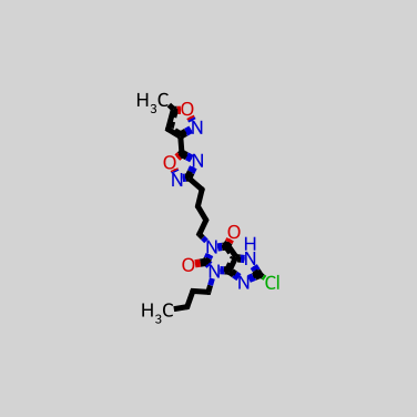 CCCCn1c(=O)n(CCCCc2noc(-c3cc(C)on3)n2)c(=O)c2[nH]c(Cl)nc21